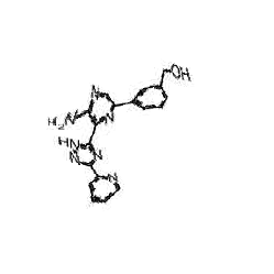 Nc1ncc(-c2cccc(CO)c2)nc1-c1nc(-c2ccccn2)n[nH]1